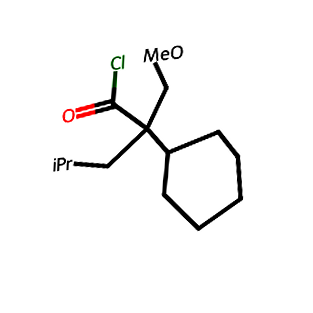 COCC(CC(C)C)(C(=O)Cl)C1CCCCC1